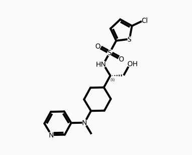 CN(c1cccnc1)C1CCC([C@@H](CO)NS(=O)(=O)c2ccc(Cl)s2)CC1